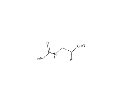 CCCC(=O)NCC(F)C=O